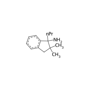 CCCC1(N)c2ccccc2CC1(C)C